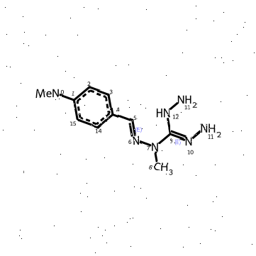 CNc1ccc(/C=N/N(C)/C(=N/N)NN)cc1